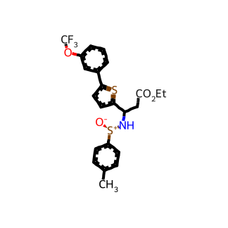 CCOC(=O)CC(N[S@+]([O-])c1ccc(C)cc1)c1ccc(-c2cccc(OC(F)(F)F)c2)s1